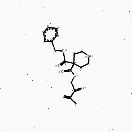 C=C(C)C(=O)COC(=O)C1(C(=O)OCc2ccccc2)CCNCC1